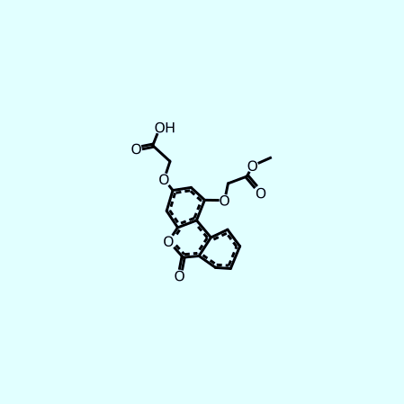 COC(=O)COc1cc(OCC(=O)O)cc2oc(=O)c3ccccc3c12